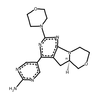 Nc1ncc(-c2nc(N3CCOCC3)nc3c2C[C@@H]2COCCN32)cn1